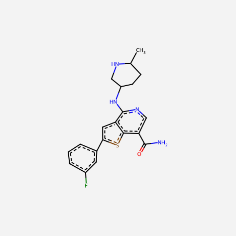 CC1CCC(Nc2ncc(C(N)=O)c3sc(-c4cccc(F)c4)cc23)CN1